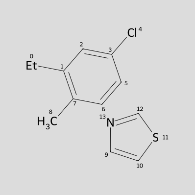 CCc1cc(Cl)ccc1C.c1cscn1